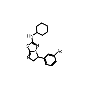 CC(=O)c1cccc(C2CN=C3SC(NC4CCCCC4)=NN32)c1